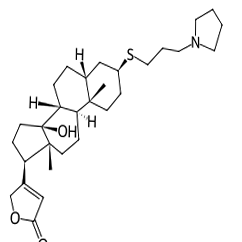 C[C@]12CC[C@H](SCCCN3CCCC3)C[C@H]1CC[C@@H]1[C@@H]2CC[C@]2(C)[C@@H](C3=CC(=O)OC3)CC[C@]12O